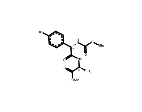 COC(=O)[C@H](C)NC(=O)[C@@H](NC(=O)OC(C)(C)C)c1ccc(O)cc1